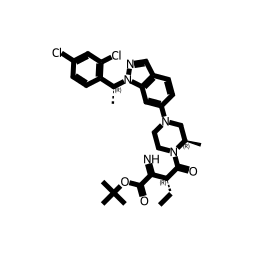 CC[C@H](C(=N)C(=O)OC(C)(C)C)C(=O)N1CCN(c2ccc3cnn([C@H](C)c4ccc(Cl)cc4Cl)c3c2)C[C@H]1C